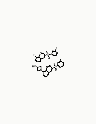 O=S(=O)(c1cccc(F)c1)c1cnc2c(F)cccc2c1.O=S(=O)(c1cccc(F)c1)c1cnc2c(N3CC(O)C3)cccc2c1